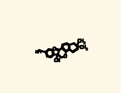 CCCc1ccc(C2(C#N)COc3c(ccc4c3C=CC(C)(C)C4)C2=O)cc1